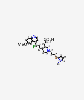 COc1ccc2nccc([C@@H](F)CCC3CCN(CCCSc4cccn4C)CC3CCC(=O)O)c2c1